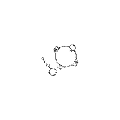 C1=Cc2cc3ccc(cc4nc(cc5ccc(cc1n2)[nH]5)C=C4)[nH]3.O=[C]=[Pd][c]1ccccc1